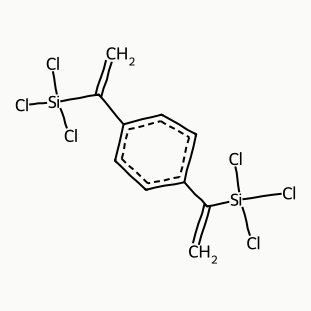 C=C(c1ccc(C(=C)[Si](Cl)(Cl)Cl)cc1)[Si](Cl)(Cl)Cl